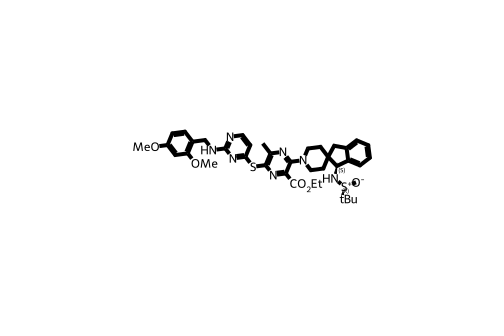 CCOC(=O)c1nc(Sc2ccnc(NCc3ccc(OC)cc3OC)n2)c(C)nc1N1CCC2(CC1)Cc1ccccc1[C@H]2N[S@@+]([O-])C(C)(C)C